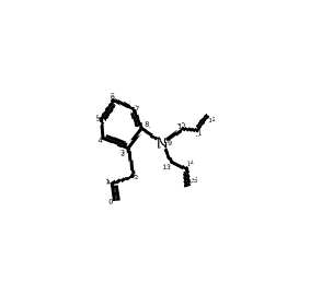 C=CCc1ccccc1N(CC=C)CC=C